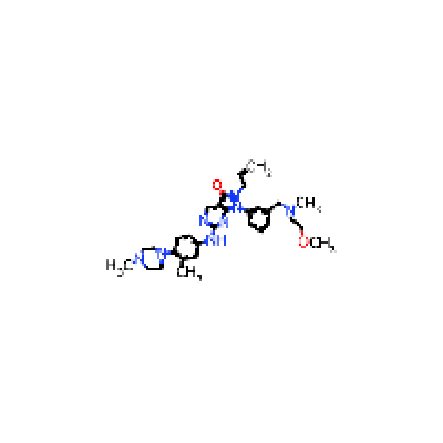 C=CCn1c(=O)c2cnc(Nc3ccc(N4CCN(C)CC4)c(C)c3)nc2n1-c1cccc(CN(C)CCOC)c1